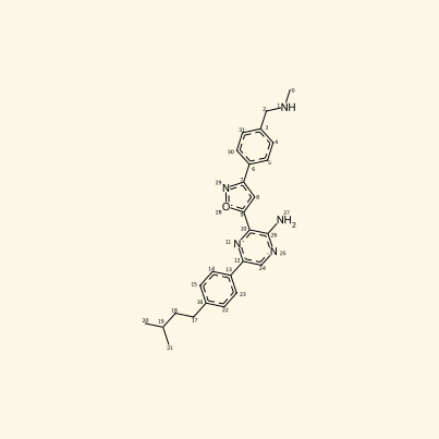 CNCc1ccc(-c2cc(-c3nc(-c4ccc(CCC(C)C)cc4)cnc3N)on2)cc1